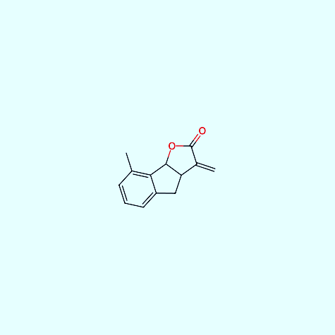 C=C1C(=O)OC2c3c(C)cccc3CC12